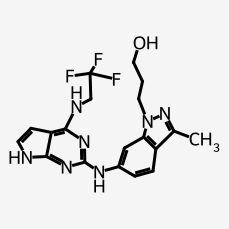 Cc1nn(CCCO)c2cc(Nc3nc(NCC(F)(F)F)c4cc[nH]c4n3)ccc12